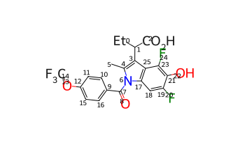 CCC(C(=O)O)c1c(C)n(C(=O)c2ccc(OC(F)(F)F)cc2)c2cc(F)c(O)c(F)c12